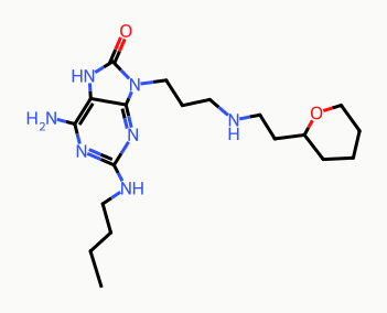 CCCCNc1nc(N)c2[nH]c(=O)n(CCCNCCC3CCCCO3)c2n1